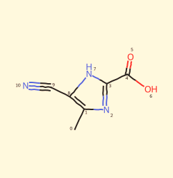 Cc1nc(C(=O)O)[nH]c1C#N